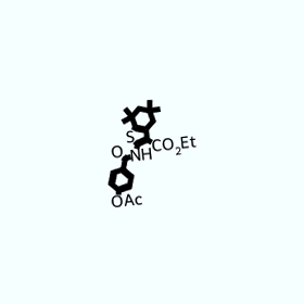 CCOC(=O)c1c(NC(=O)c2ccc(OC(C)=O)cc2)sc2c1CC(C)(C)CC2(C)C